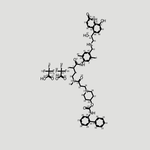 Cc1cc(NC(=O)C(C)CCN(C)C(=O)CCN2CCC(OC(=O)Nc3ccccc3-c3ccccc3)CC2)c(C)cc1CNC[C@H](O)c1ccc(O)c2[nH]c(=O)ccc12.O=C(O)C(F)(F)F.O=C(O)C(F)(F)F